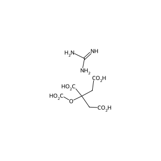 N=C(N)N.O=C(O)CC(CC(=O)O)(OC(=O)O)C(=O)O